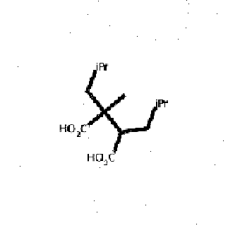 CC(C)CC(C(=O)O)C(C)(CC(C)C)C(=O)O